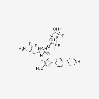 Cc1cc(-c2ccc(N3CCNCC3)cc2)sc1Cn1c(CC(CN)=C(F)F)n[nH]c1=O.O=C(O)C(F)(F)F.O=C(O)C(F)(F)F